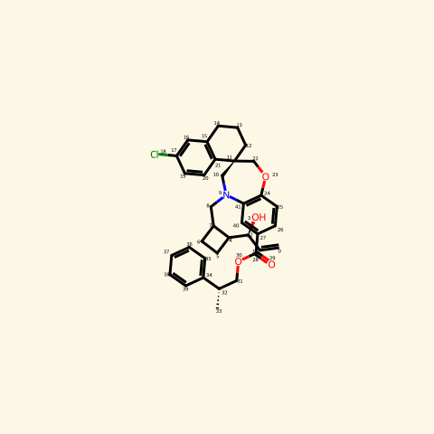 C=C[C@H](O)C1CCC1CN1C[C@@]2(CCCc3cc(Cl)ccc32)COc2ccc(C(=O)OC[C@H](C)c3ccccc3)cc21